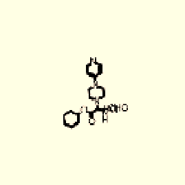 Cl.O=CNC(C(=O)OC1CCCCC1)N1CCN(c2ccncc2)CC1